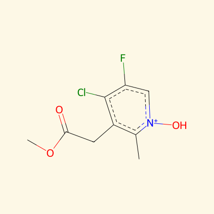 COC(=O)Cc1c(Cl)c(F)c[n+](O)c1C